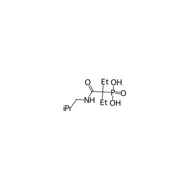 CCC(CC)(C(=O)NCC(C)C)P(=O)(O)O